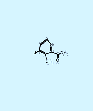 Cc1c(F)ccnc1C(N)=O